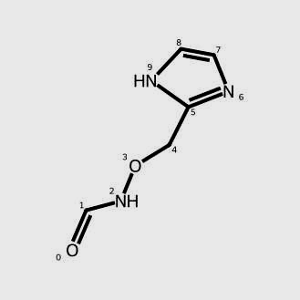 O=CNOCc1ncc[nH]1